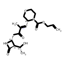 C=CCOC(=O)N1CCOC[C@H]1/C=C(\C)C(=O)C[C@H]1NC(=O)[C@@H]1[C@@H](C)O